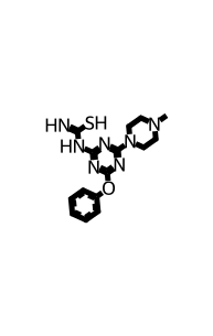 CN1CCN(c2nc(NC(=N)S)nc(Oc3ccccc3)n2)CC1